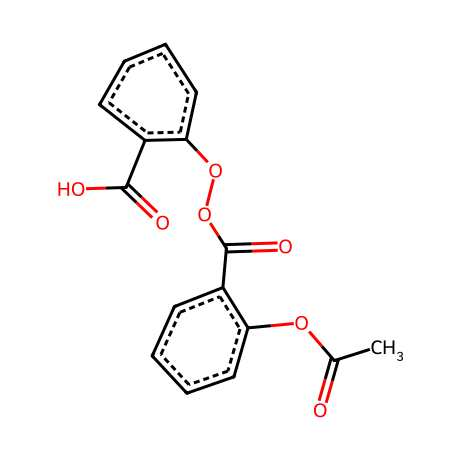 CC(=O)Oc1ccccc1C(=O)OOc1ccccc1C(=O)O